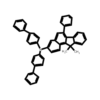 CC1(C)c2ccccc2-c2c(-c3ccccc3)cc3cc(N(c4ccc(-c5ccccc5)cc4)c4ccc(-c5ccccc5)cc4)ccc3c21